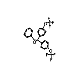 FC(F)(F)Oc1ccc(C2(c3ccc(OC(F)(F)F)cc3)OC2c2ccccc2)cc1